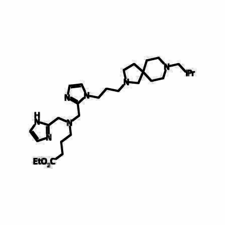 CCOC(=O)CCCN(Cc1ncc[nH]1)Cc1nccn1CCCN1CCC2(CCN(CC(C)C)CC2)C1